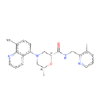 Cc1cccnc1CNC(=O)[C@H]1CN(c2ccc(C#N)c3ncccc23)C[C@@H](C)O1